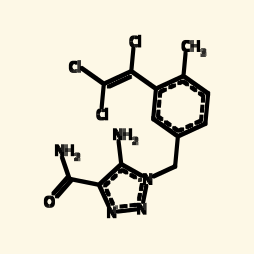 Cc1ccc(Cn2nnc(C(N)=O)c2N)cc1C(Cl)=C(Cl)Cl